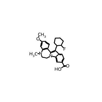 COc1ccc2c(c1)N(C)CCn1c-2c(C2CCCCC2F)c2ccc(C(=O)O)cc21